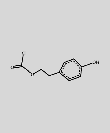 O=C(Cl)OCCc1ccc(O)cc1